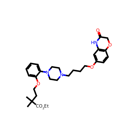 CCOC(=O)C(C)(C)CCOc1ccccc1N1CCN(CCCCOc2ccc3c(c2)NC(=O)CO3)CC1